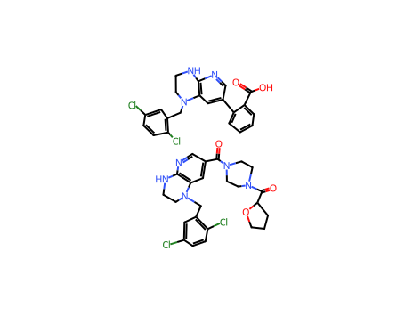 O=C(O)c1ccccc1-c1cnc2c(c1)N(Cc1cc(Cl)ccc1Cl)CCN2.O=C(c1cnc2c(c1)N(Cc1cc(Cl)ccc1Cl)CCN2)N1CCN(C(=O)C2CCCO2)CC1